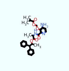 CC(C)C(=O)OCOc1c(N)ccnc1C(=O)NC(C)C(=O)OC(C)C(c1ccccc1)c1ccccc1